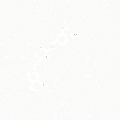 COc1ccc(/C=C/C(=O)N[S+]([O-])/C=C/c2ccc(OC)c([N+](=O)[O-])c2)cc1[N+](=O)[O-]